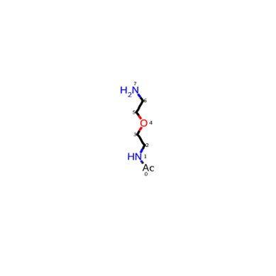 CC(=O)NCCOCCN